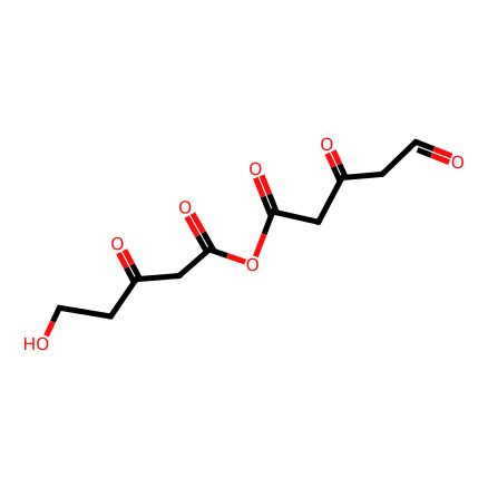 O=CCC(=O)CC(=O)OC(=O)CC(=O)CCO